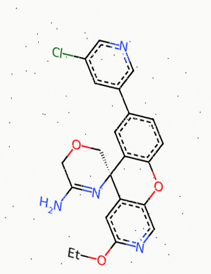 CCOc1cc2c(cn1)Oc1ccc(-c3cncc(Cl)c3)cc1[C@@]21COCC(N)=N1